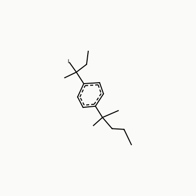 CCCC(C)(C)c1ccc(C(C)(I)CC)cc1